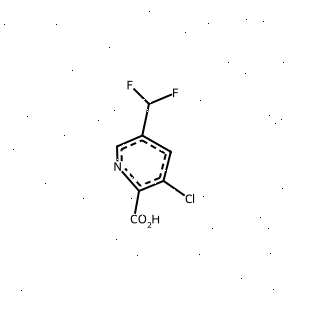 O=C(O)c1ncc(C(F)F)cc1Cl